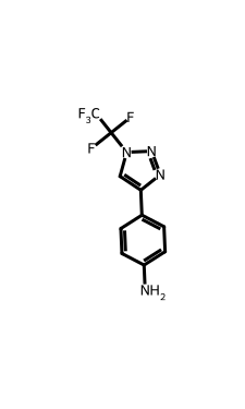 Nc1ccc(-c2cn(C(F)(F)C(F)(F)F)nn2)cc1